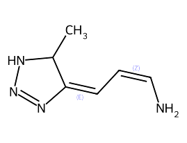 CC1NN=N/C1=C/C=C\N